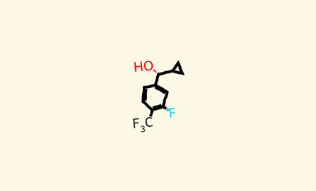 O[C@@H](c1ccc(C(F)(F)F)c(F)c1)C1CC1